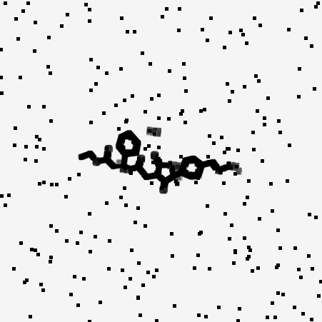 CCOC(=O)C[C@H](NC(=O)CN1C(=O)N[C@@](C)(c2ccc(C=NN)cc2)C1=O)c1ccccc1.Cl